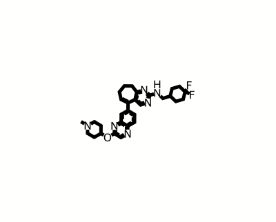 CN1CCC(Oc2cnc3ccc(C4=CCCCc5nc(NCC6CCC(F)(F)CC6)ncc54)cc3n2)CC1